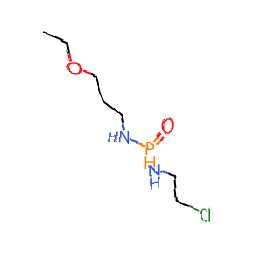 CCOCCCN[PH](=O)NCCCl